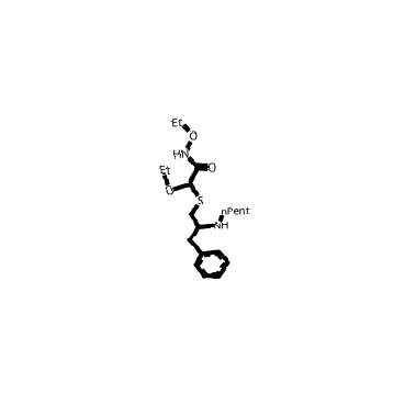 CCCCCNC(CSC(OCC)C(=O)NOCC)Cc1ccccc1